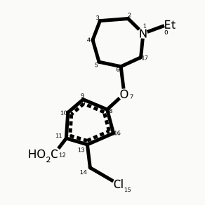 CCN1CCCCC(Oc2ccc(C(=O)O)c(CCl)c2)C1